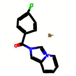 O=C(c1ccc(Cl)cc1)n1cc2cccc[n+]2c1.[Br-]